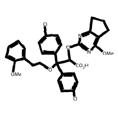 COc1ccccc1CCOC(c1ccc(Cl)cc1)(c1ccc(Cl)cc1)C(Oc1nc2c(c(OC)n1)CCC2)C(=O)O